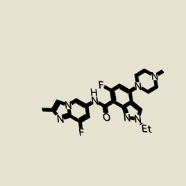 CCn1cc2c(N3CCN(C)CC3)cc(F)c(C(=O)Nc3cc(F)c4nc(C)cn4c3)c2n1